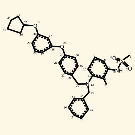 Cc1c(NS(C)(=O)=O)cccc1N(Cc1ccccc1)Cc1ccc(Oc2cccc(OC3CCCC3)c2)cc1